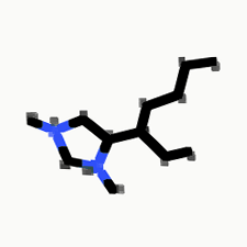 CCCCC(CC)C1CN(C)CN1C